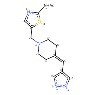 CC(=O)Nc1ncc(CN2CCC(=Cc3cn[nH]c3)CC2)s1